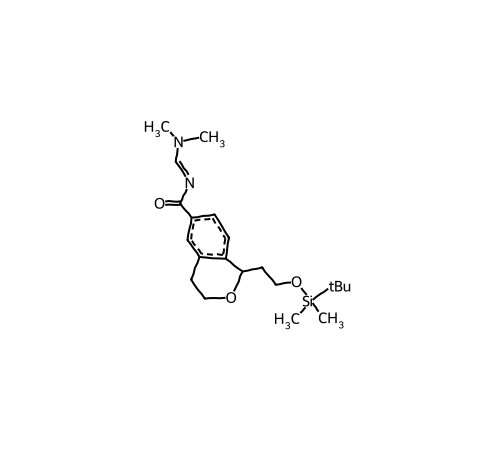 CN(C)C=NC(=O)c1ccc2c(c1)CCOC2CCO[Si](C)(C)C(C)(C)C